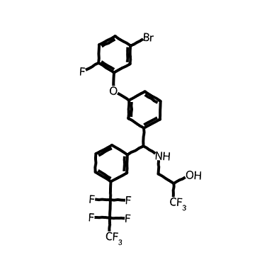 OC(CNC(c1cccc(Oc2cc(Br)ccc2F)c1)c1cccc(C(F)(F)C(F)(F)C(F)(F)F)c1)C(F)(F)F